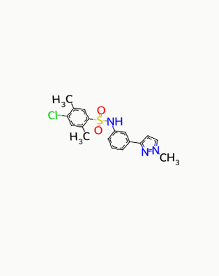 Cc1cc(S(=O)(=O)Nc2cccc(-c3ccn(C)n3)c2)c(C)cc1Cl